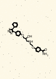 NC(=O)c1ccc(OCCNCC(O)COc2ccc(-c3nnsc3-c3ccccc3)cc2)cc1